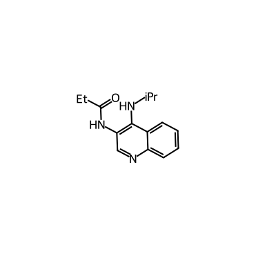 CCC(=O)Nc1cnc2ccccc2c1NC(C)C